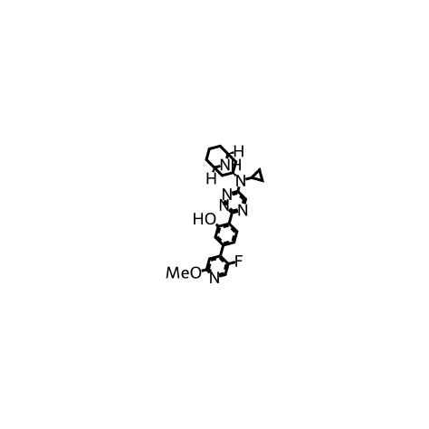 COc1cc(-c2ccc(-c3ncc(N(C4CC4)[C@@H]4C[C@H]5CCC[C@@H](C4)N5)nn3)c(O)c2)c(F)cn1